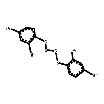 CC(C)c1ccc(SSSSc2ccc(C(C)C)cc2C(C)C)c(C(C)C)c1